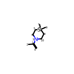 C=C(C)N1CC[Si](C)(C)CC1